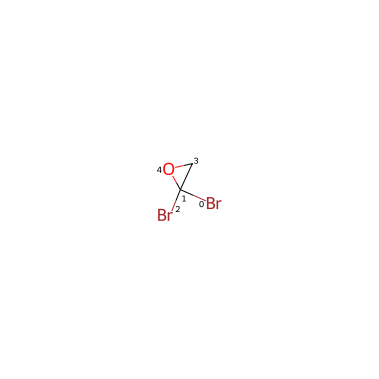 BrC1(Br)CO1